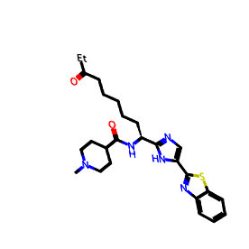 CCC(=O)CCCCC[C@H](NC(=O)C1CCN(C)CC1)c1ncc(-c2nc3ccccc3s2)[nH]1